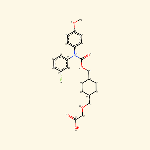 COc1ccc(N(C(=O)OCC2CCC(COCC(=O)O)CC2)c2cccc(F)c2)cc1